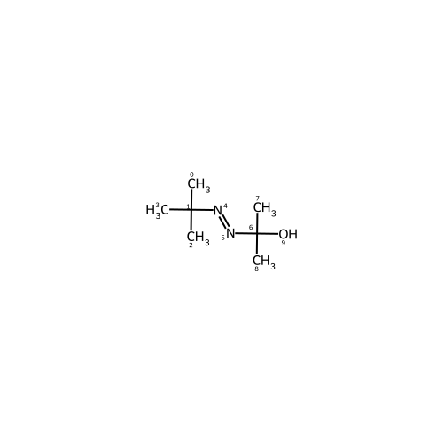 CC(C)(C)N=NC(C)(C)O